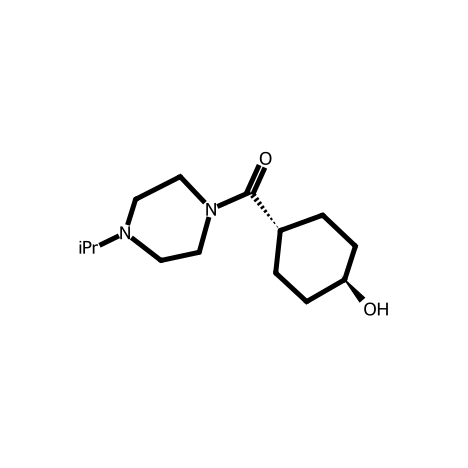 CC(C)N1CCN(C(=O)[C@H]2CC[C@H](O)CC2)CC1